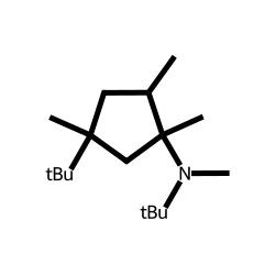 CC1CC(C)(C(C)(C)C)CC1(C)N(C)C(C)(C)C